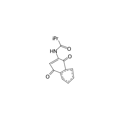 CC(C)C(=O)NC1=CC(=O)c2ccccc2C1=O